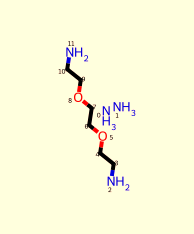 N.N.NCCOCCOCCN